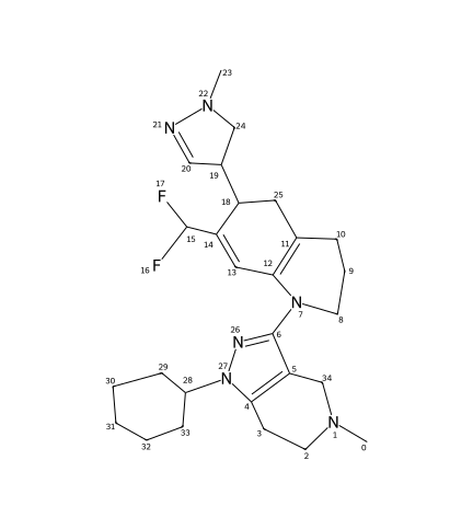 CN1CCc2c(c(N3CCCC4=C3C=C(C(F)F)C(C3C=NN(C)C3)C4)nn2C2CCCCC2)C1